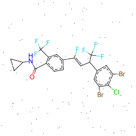 O=C(NC1CC1)c1ccc(C(F)=CC(c2cc(Br)c(Cl)c(Br)c2)C(F)(F)F)cc1C(F)(F)F